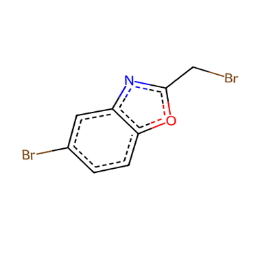 BrCc1nc2cc(Br)ccc2o1